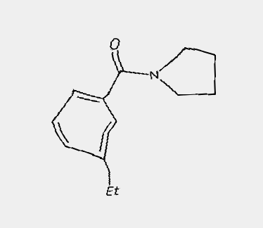 [CH2]Cc1cccc(C(=O)N2CCCC2)c1